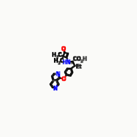 CCC(c1ccc(Oc2nccc3ccncc23)cc1)[C@H](NC1=CC(=O)C1(C)C)C(=O)O